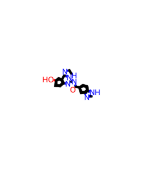 O=C(NC1=Nc2ccc(O)cc2C2=NCCN12)c1ccc2[nH]cnc2c1